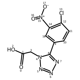 O=C(O)Cn1nnnc1-c1ccc(Cl)c([N+](=O)[O-])c1